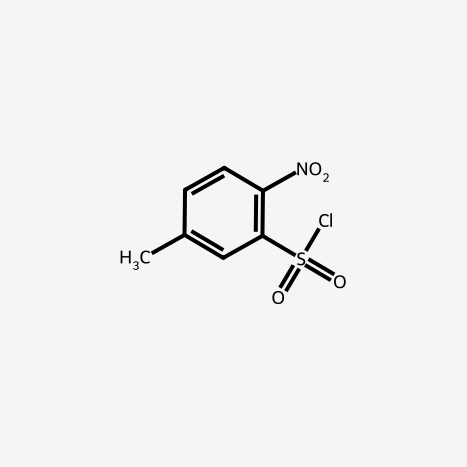 Cc1ccc([N+](=O)[O-])c(S(=O)(=O)Cl)c1